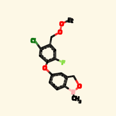 CCOOCc1cc(F)c(Oc2ccc3c(c2)COB3C)cc1Cl